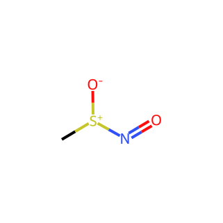 C[S+]([O-])N=O